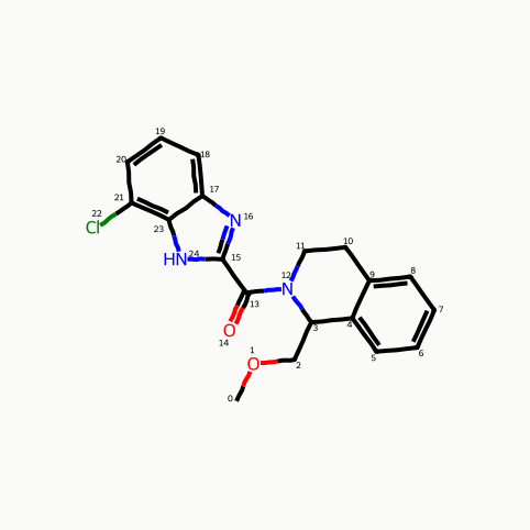 COCC1c2ccccc2CCN1C(=O)c1nc2cccc(Cl)c2[nH]1